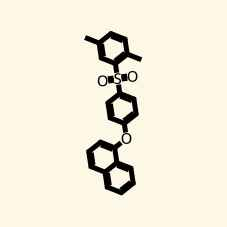 Cc1ccc(C)c(S(=O)(=O)c2ccc(Oc3cccc4ccccc34)cc2)c1